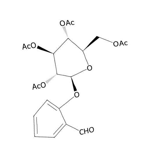 CC(=O)OC[C@H]1O[C@@H](Oc2ccccc2C=O)[C@H](OC(C)=O)[C@@H](OC(C)=O)[C@@H]1OC(C)=O